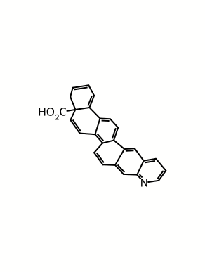 O=C(O)C12C=Cc3c(ccc4c3ccc3cc5ncccc5cc34)C1=CC=CC2